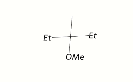 CCC(C)(CC)OC